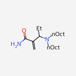 C=C(C(N)=O)C(CC)N(CCCCCCCC)CCCCCCCC